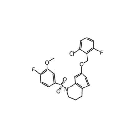 COc1cc(S(=O)(=O)N2CCCc3ccc(OCc4c(F)cccc4Cl)cc32)ccc1F